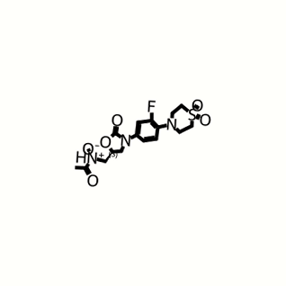 CC(=O)[NH+]([O-])C[C@@H]1CN(c2ccc(N3CCS(=O)(=O)CC3)c(F)c2)C(=O)O1